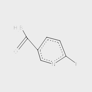 BC(=O)c1ccc(F)nc1